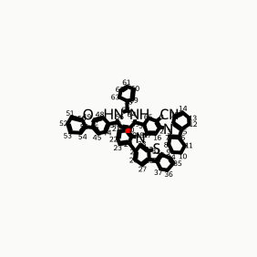 N#CC1=C(n2c3c(c4c2CCCC4)CCC=C3)C=C(n2c3ccccc3c3ccc4c5c(sc4c32)C=CCC5)C(C2C=CC(c3ccc4c(c3)oc3ccccc34)NC(C3C=CC=CC3)N2)C1